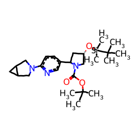 CC(C)(C)OC(=O)N1C[C@@H](O[Si](C)(C)C(C)(C)C)CC1c1ccc(N2CC3CC3C2)nc1